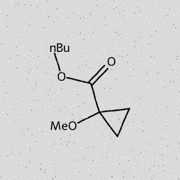 CCCCOC(=O)C1(OC)CC1